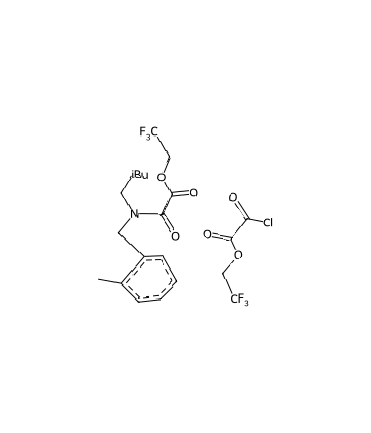 CCC(C)CN(Cc1ccccc1C)C(=O)C(=O)OCC(F)(F)F.O=C(Cl)C(=O)OCC(F)(F)F